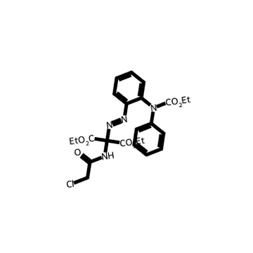 CCOC(=O)N(c1ccccc1)c1ccccc1N=NC(NC(=O)CCl)(C(=O)OCC)C(=O)OCC